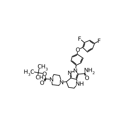 CC(C)(C)OC(=O)N1CCN(C2CCNc3c2nn(-c2ccc(Oc4ccc(F)cc4F)cc2)c3C(N)=O)CC1